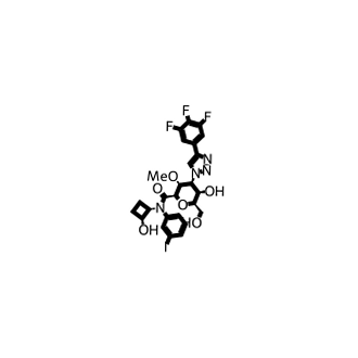 CO[C@@H]1[C@@H](n2cc(-c3cc(F)c(F)c(F)c3)nn2)[C@@H](O)[C@@H](CO)O[C@H]1C(=O)N(c1cccc(I)c1)[C@H]1CC[C@@H]1O